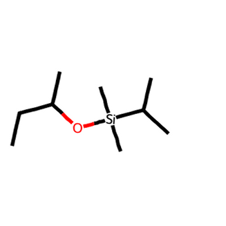 CCC(C)O[Si](C)(C)C(C)C